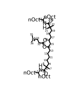 CCCCCCCCC(CCCCCCCC)NC(=O)C(C)(C)CCCCCC(CCCCCC(C)(C)C(=O)NC(CCCCCCCC)CCCCCCCC)OC(=O)CCN(C)C